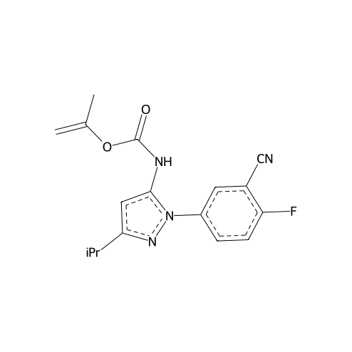 C=C(C)OC(=O)Nc1cc(C(C)C)nn1-c1ccc(F)c(C#N)c1